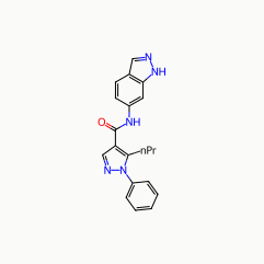 CCCc1c(C(=O)Nc2ccc3cn[nH]c3c2)cnn1-c1ccccc1